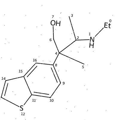 CCNC(C)C(C)(CO)c1ccc2sccc2c1